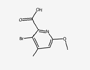 COc1cc(C)c(Br)c(C(=O)O)n1